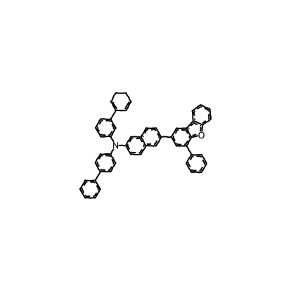 C1=CC(c2cccc(N(c3ccc(-c4ccccc4)cc3)c3ccc4cc(-c5cc(-c6ccccc6)c6oc7ccccc7c6c5)ccc4c3)c2)=CCC1